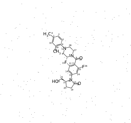 Cc1ccc(N2CCN(C(=O)c3c(F)cc(N4C(=O)CC[C@H]4CO)cc3F)CC2)c(C)c1